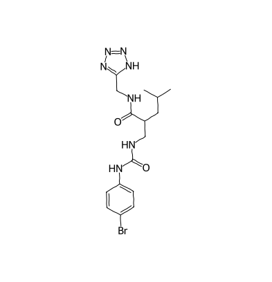 CC(C)CC(CNC(=O)Nc1ccc(Br)cc1)C(=O)NCc1nnn[nH]1